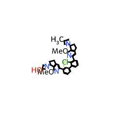 COc1nc(-c2cccc(-c3cccc(-c4cc5c(c(OC)n4)C(N4CC(C)C4)CC5)c3Cl)c2F)cc2c1C(N1CC(O)C1)CC2